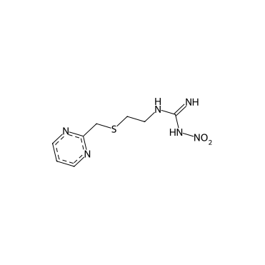 N=C(NCCSCc1ncccn1)N[N+](=O)[O-]